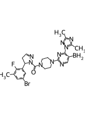 Bc1cnc(N2CCN(C(=O)N3N=CCC3c3cc(Br)cc(C)c3F)CC2)nc1-n1nc(C)nc1C